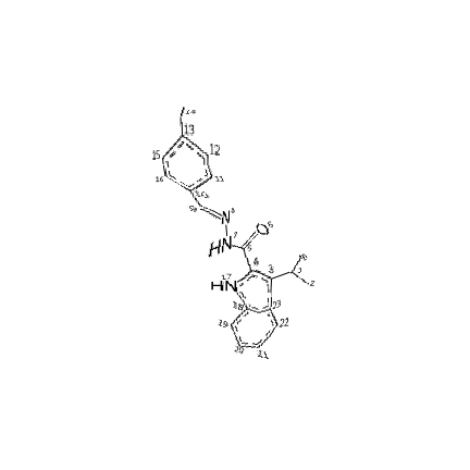 CC(C)c1c(C(=O)NN=Cc2ccc(I)cc2)[nH]c2ccccc12